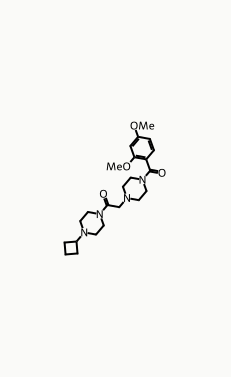 COc1ccc(C(=O)N2CCN(CC(=O)N3CCN(C4CCC4)CC3)CC2)c(OC)c1